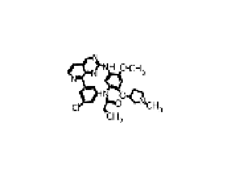 C=CC(=O)Nc1cc(Nc2ncc3ccnc(-c4cccc(Cl)c4)c3n2)c(OC)cc1OC1CCN(C)C1